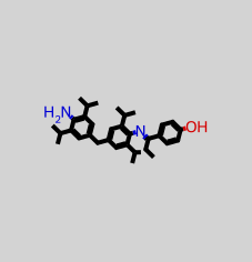 CC/C(=N\c1c(C(C)C)cc(Cc2cc(C(C)C)c(N)c(C(C)C)c2)cc1C(C)C)c1ccc(O)cc1